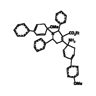 CCOC(=O)C1=C(C2(N)C=CC(c3ccc(OC)cc3)=CC2)CC(c2ccccc2)N(C2(OC)C=CC(c3ccccc3)=CC2)C1c1ccccc1